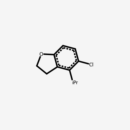 CC(C)c1c(Cl)ccc2c1CCO2